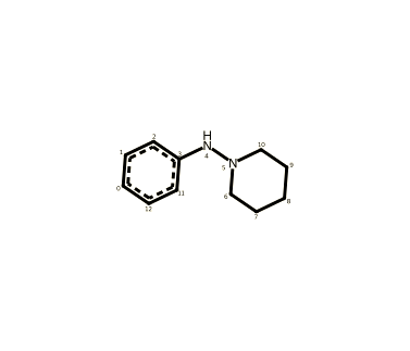 c1ccc(NN2CCCCC2)cc1